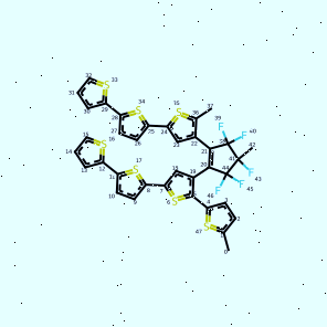 Cc1ccc(-c2sc(-c3ccc(-c4cccs4)s3)cc2C2=C(c3cc(-c4ccc(-c5cccs5)s4)sc3C)C(F)(F)C(C)(F)C2(F)F)s1